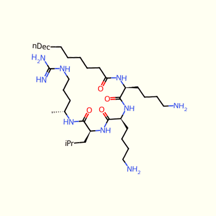 CCCCCCCCCCCCCCCC(=O)N[C@@H](CCCCN)C(=O)N[C@@H](CCCCN)C(=O)N[C@@H](CC(C)C)C(=O)N[C@H](C)CCCNC(=N)N